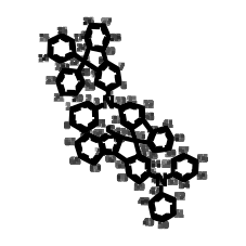 c1ccc(N(c2ccc3c(c2)C(c2ccccc2)(c2ccccc2)c2ccccc2-3)c2ccc3c(c2)C2(c4ccccc4-3)c3cc(N(c4ccccc4)c4ccccc4)ccc3-c3c2sc2ccccc32)cc1